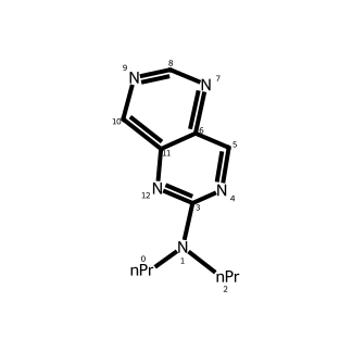 CCCN(CCC)c1ncc2ncncc2n1